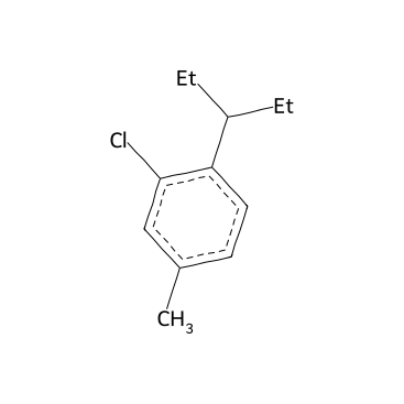 CCC(CC)c1ccc(C)cc1Cl